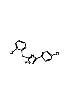 Clc1ccc(-c2c[nH]c(Cc3ccccc3Cl)n2)cc1